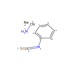 N#CN.S=C=Nc1ccccc1.[Na]